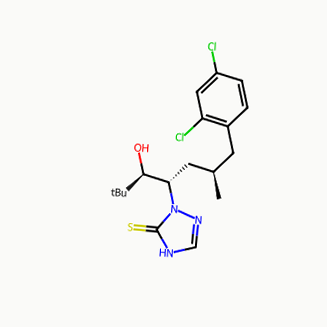 C[C@H](Cc1ccc(Cl)cc1Cl)C[C@@H]([C@H](O)C(C)(C)C)n1nc[nH]c1=S